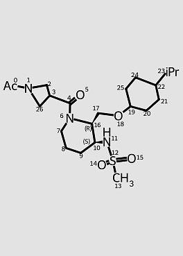 CC(=O)N1CC(C(=O)N2CCC[C@H](NS(C)(=O)=O)[C@@H]2COC2CCC(C(C)C)CC2)C1